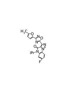 Cc1ccc(-c2noc(-c3ncn4c3c(=O)n(C(C)C)c3cc(F)ccc34)n2)o1